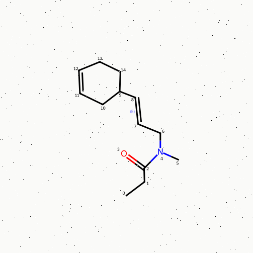 CCC(=O)N(C)C/C=C/C1CC=CCC1